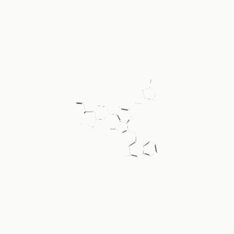 C=CC(=O)N1CCN(c2nc(OC[C@@H]3C[C@@H](F)CN3C)nc3c(Cc4cc(O)cc5ccccc45)cn(C)c23)CC1CC#N